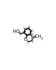 CN1CCOc2c(CO)cccc21